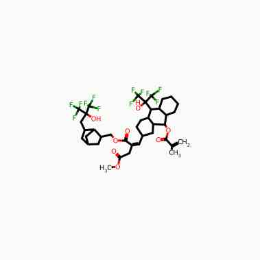 C=C(C)C(=O)OC1C2CCCCC2C(C(O)(C(F)(F)F)C(F)(F)F)C2CCC(/C=C(/CC(=O)OC)C(=O)OCC3CC4CC(CC(O)(C(F)(F)F)C(F)(F)F)C3C4)CC21